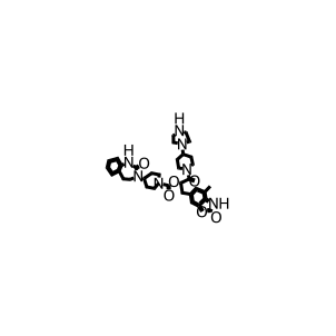 Cc1cc(CC(OC(=O)N2CCC(N3CCc4ccccc4NC3=O)CC2)C(=O)N2CCC(N3CCNCC3)CC2)cc2oc(=O)[nH]c12